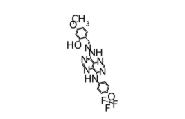 COc1ccc(C=NNc2ncnc3c(Nc4ccc(OC(F)(F)F)cc4)ncnc23)c(O)c1